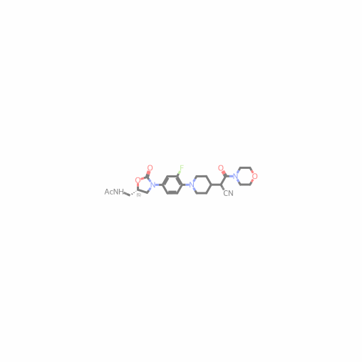 CC(=O)NC[C@H]1CN(c2ccc(N3CCC(C(C#N)C(=O)N4CCOCC4)CC3)c(F)c2)C(=O)O1